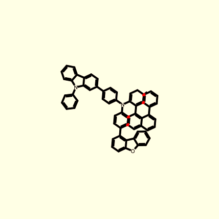 CC1C=C(c2cccc3cccc(-c4ccccc4)c23)C(N(c2ccc(-c3ccc4c5ccccc5n(-c5ccccc5)c4c3)cc2)c2ccc(-c3cccc4oc5ccccc5c34)cc2)=CC1